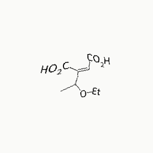 CCOC(C)C(=CC(=O)O)C(=O)O